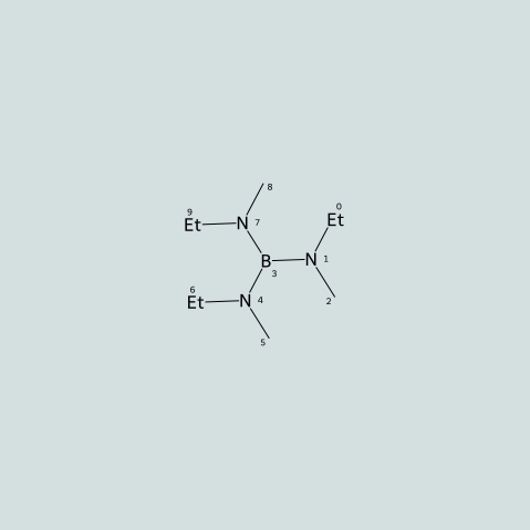 CCN(C)B(N(C)CC)N(C)CC